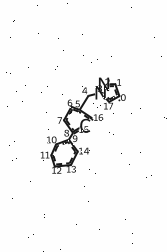 [c]1cnn(Cc2ccc(-c3ccccc3)cc2)c1